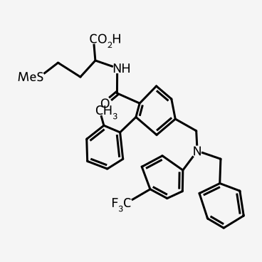 CSCCC(NC(=O)c1ccc(CN(Cc2ccccc2)c2ccc(C(F)(F)F)cc2)cc1-c1ccccc1C)C(=O)O